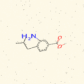 COC(=O)c1ccc(CC(C)C)c(N)c1